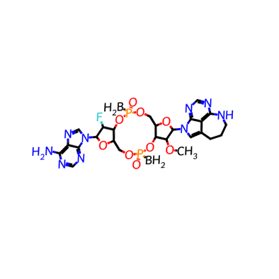 BP1(=O)OCC2OC(n3cc4c5c(ncnc53)NCCC4)C(OC)C2OP(B)(=O)OCC2OC(n3cnc4c(N)ncnc43)C(F)C2O1